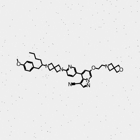 CCCCC(Cc1ccc(OC)cc1)N1CC2(CN(c3ccc(-c4cc(OCCN5CC6(COC6)C5)cn5ncc(C#N)c45)cn3)C2)C1